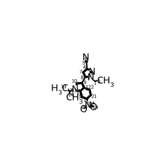 CCn1nc(C#N)cc1-c1cn(C(C)C)c2cc([N+](=O)[O-])ccc12